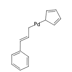 C1=C[CH]([Pd][CH2]/C=C/c2ccccc2)C=C1